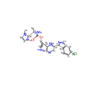 CC(NC(=O)Oc1c[nH]c2ncc(-c3nn(C)c4cc(Cl)ccc34)nc12)c1nccn1C